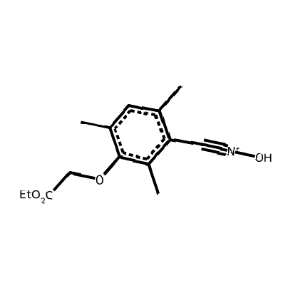 CCOC(=O)COc1c(C)cc(C)c(C#[N+]O)c1C